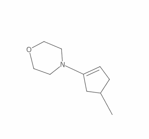 CC1CC=C(N2CCOCC2)C1